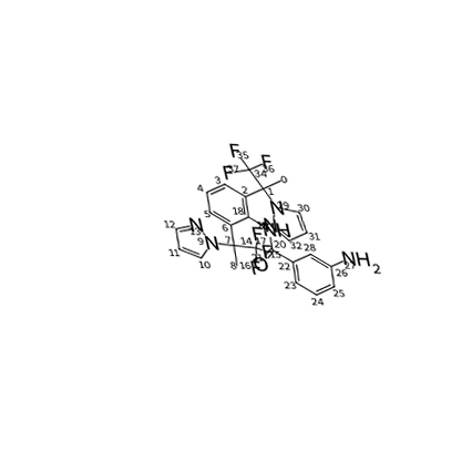 CC(c1cccc(C(C)(n2cccn2)C(F)(F)F)c1NC(=O)c1cccc(N)c1)(n1cccn1)C(F)(F)F